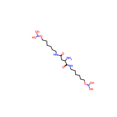 NC(CC(=O)NCCCCCCON(O)O)C(=O)NCCCCCCON(O)O